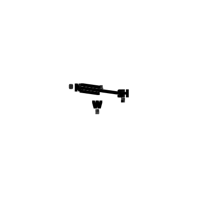 N#CS.[W]